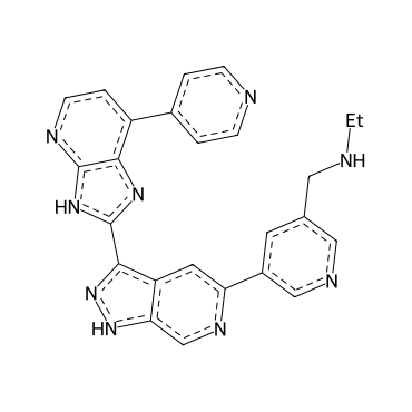 CCNCc1cncc(-c2cc3c(-c4nc5c(-c6ccncc6)ccnc5[nH]4)n[nH]c3cn2)c1